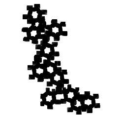 c1ccc(N(c2ccc3c(ccc4ccccc43)c2)c2ccc3cc4c5c(cccc5c3c2)Oc2cc(N(c3ccccc3)c3cccc5c3oc3ccccc35)ccc2-4)cc1